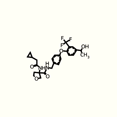 CC(O)c1ccc(Oc2ccc(CNC(=O)C3(NC(=O)CC4CC4)CCOC3)cc2)c(C(F)(F)F)c1